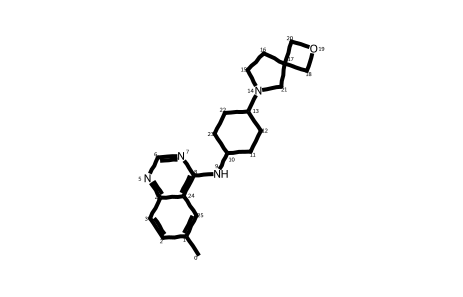 Cc1ccc2ncnc(NC3CCC(N4CCC5(COC5)C4)CC3)c2c1